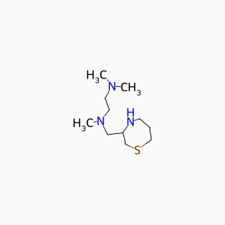 CN(C)CCN(C)CC1CSCCCN1